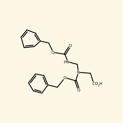 O=C(O)CN(CNC(=O)OCc1ccccc1)C(=O)OCc1ccccc1